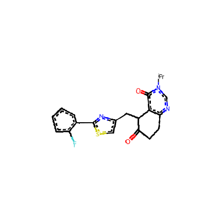 CC(C)n1cnc2c(c1=O)C(Cc1csc(-c3ccccc3F)n1)C(=O)CC2